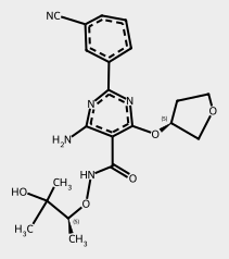 C[C@H](ONC(=O)c1c(N)nc(-c2cccc(C#N)c2)nc1O[C@H]1CCOC1)C(C)(C)O